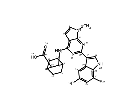 Cn1ccc2c(NC3C4CCC(CC4)C3C(=O)O)nc(-c3c[nH]c4c(F)cc(F)cc34)nc21